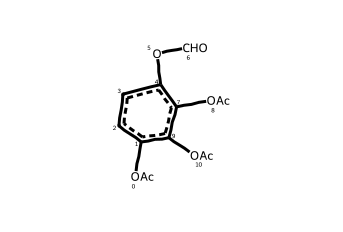 CC(=O)Oc1ccc(OC=O)c(OC(C)=O)c1OC(C)=O